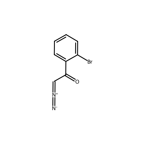 [N-]=[N+]=CC(=O)c1ccccc1Br